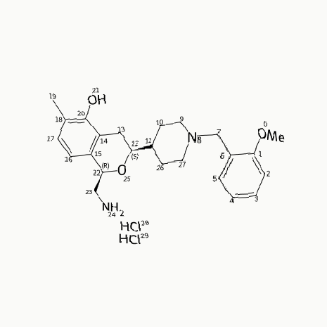 COc1ccccc1CN1CCC([C@@H]2Cc3c(ccc(C)c3O)[C@H](CN)O2)CC1.Cl.Cl